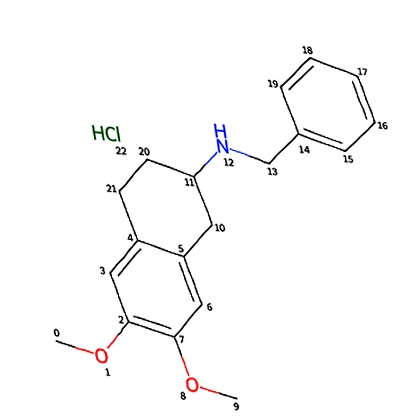 COc1cc2c(cc1OC)CC(NCc1ccccc1)CC2.Cl